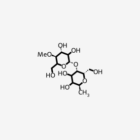 CO[C@@H]1C(CO)O[C@@H](O[C@H]2C(O)C(O)[C@H](C)O[C@H]2CO)C(O)[C@H]1O